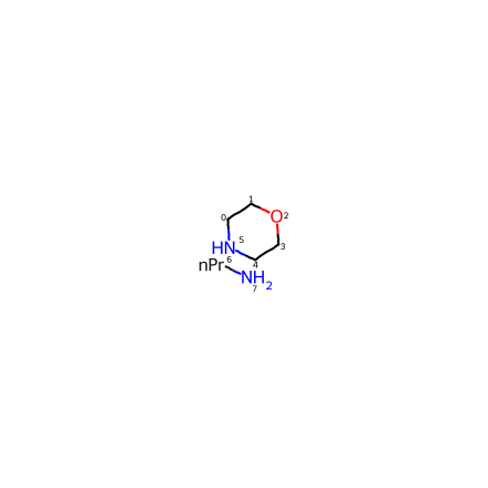 C1COCCN1.CCCN